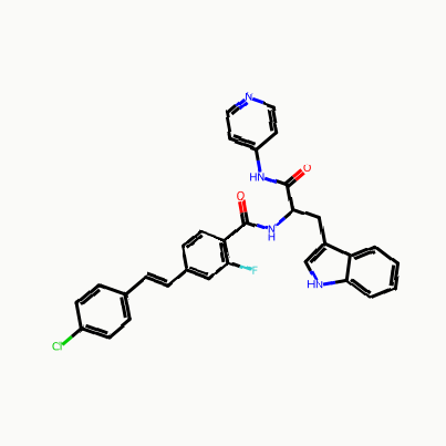 O=C(NC(Cc1c[nH]c2ccccc12)C(=O)Nc1ccncc1)c1ccc(/C=C/c2ccc(Cl)cc2)cc1F